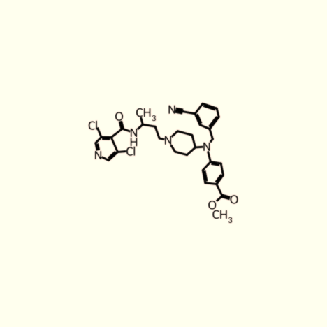 COC(=O)c1ccc(N(Cc2cccc(C#N)c2)C2CCN(CCC(C)NC(=O)c3c(Cl)cncc3Cl)CC2)cc1